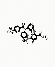 NC(=O)c1cc(F)c(N[C@@H]2CCCC[C@@H]2N)nc1Nc1cncc(NC(=O)c2ccc(S(=O)(=O)F)cc2)c1